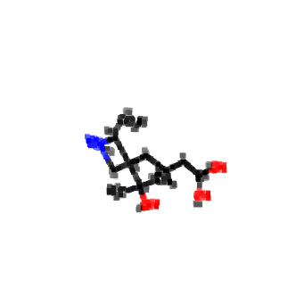 CC(C)(O)C1(CCCB(O)O)CNC1C(=O)O